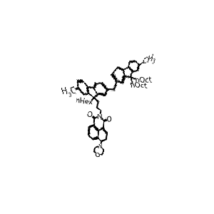 CCCCCCCCC1(CCCCCCCC)c2cc(C)ccc2-c2ccc(Cc3ccc4c(c3)C(CCCCCC)(CCCN3C(=O)c5cccc6c(N7CCOCC7)ccc(c56)C3=O)c3cc(C)ccc3-4)cc21